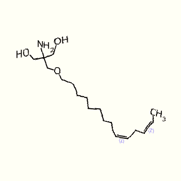 C/C=C\C/C=C\CCCCCCCCOCC(N)(CO)CO